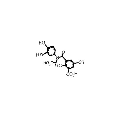 O=C(O)CN(C(=O)c1cc(O)cc(C(=O)O)c1O)c1ccc(O)c(O)c1